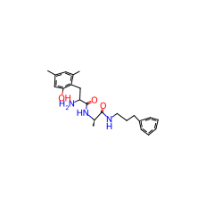 Cc1cc(C)c(CC(N)C(=O)N[C@H](C)C(=O)NCCCc2ccccc2)c(O)c1